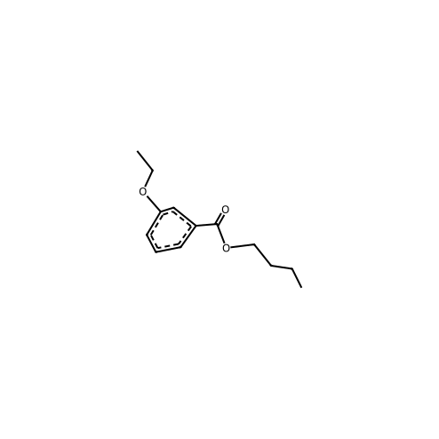 CCCCOC(=O)c1cccc(OCC)c1